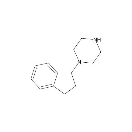 c1ccc2c(c1)CCC2N1CCNCC1